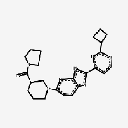 O=C([C@@H]1CCCN(c2ccc3nc(-c4ccnc(C5CCC5)n4)[nH]c3n2)C1)N1CCCC1